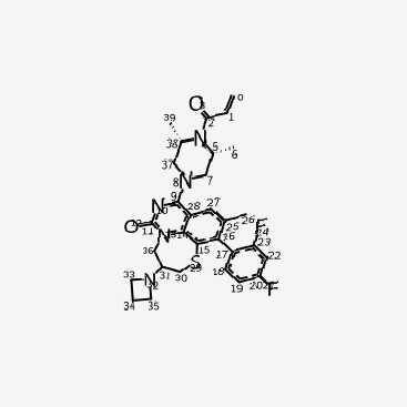 C=CC(=O)N1[C@H](C)CN(c2nc(=O)n3c4c(c(-c5ccc(F)cc5F)c(C)cc24)SCC(N2CCC2)C3)C[C@@H]1C